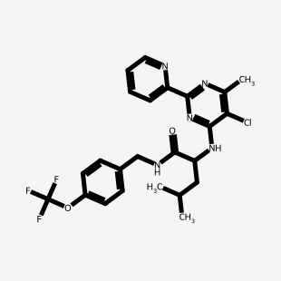 Cc1nc(-c2ccccn2)nc(NC(CC(C)C)C(=O)NCc2ccc(OC(F)(F)F)cc2)c1Cl